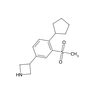 CS(=O)(=O)c1cc(C2CNC2)ccc1C1CCCC1